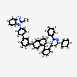 CCc1nc2ccccc2n1-c1ccc(-c2cccc(-c3ccc4c(-c5ccccc5-c5cc(-c6ccccc6)nc(-c6ccccc6)n5)cccc4c3)c2)cc1